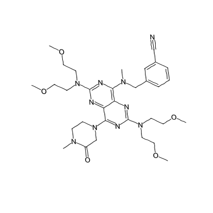 COCCN(CCOC)c1nc(N2CCN(C)C(=O)C2)c2nc(N(CCOC)CCOC)nc(N(C)Cc3cccc(C#N)c3)c2n1